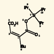 CCC(C)/C(=C/C(=O)O)C(=O)O[Si](C(C)C)(C(C)C)C(C)C